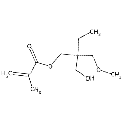 C=C(C)C(=O)OCC(CC)(CO)COC